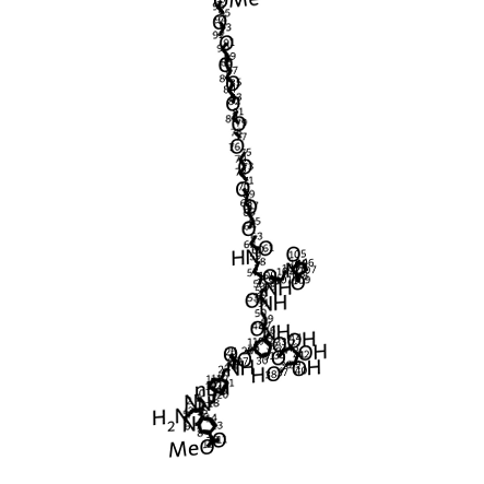 CCCCc1nc2c(N)nc3cc(C(=O)OC)ccc3c2n1Cc1ccc(CNC(=O)OCc2ccc(O[C@H]3O[C@H](CO)[C@@H](O)[C@H](O)[C@@H]3O)c(NC(=O)CCNC(=O)[C@H](CCCCNC(=O)CCOCCOCCOCCOCCOCCOCCOCCOCCOCCOCCOCCOC)NC(=O)CCN3C(=O)C=CC3=O)c2)cc1